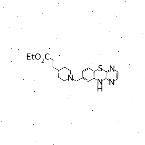 CCOC(=O)CCC1CCN(Cc2ccc3c(c2)Nc2nccnc2S3)CC1